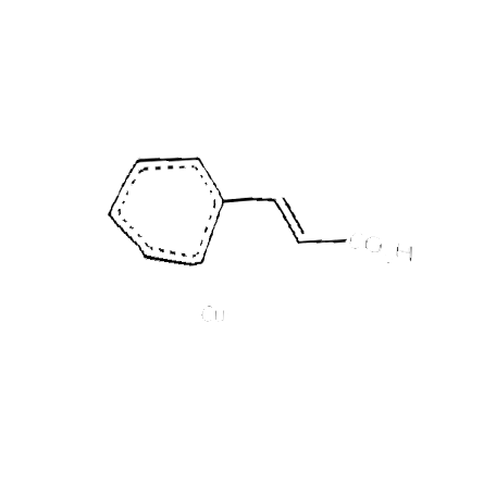 O=C(O)/C=C/c1ccccc1.[Cu]